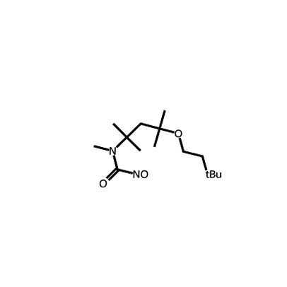 CN(C(=O)N=O)C(C)(C)CC(C)(C)OCCC(C)(C)C